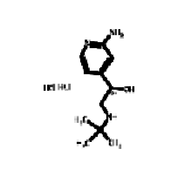 CC(C)(C)NC[C@H](O)c1ccnc(N)c1.Cl.Cl